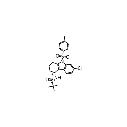 Cc1ccc(S(=O)(=O)n2c3c(c4ccc(Cl)cc42)[C@H](N[S@+]([O-])C(C)(C)C)CCC3)cc1